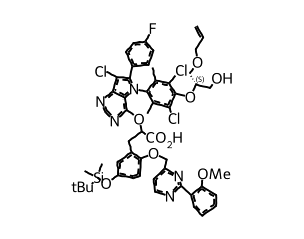 C=CCOC[C@H](CO)Oc1c(Cl)c(C)c(-n2c(-c3ccc(F)cc3)c(Cl)c3ncnc(OC(Cc4cc(O[Si](C)(C)C(C)(C)C)ccc4OCc4ccnc(-c5ccccc5OC)n4)C(=O)O)c32)c(C)c1Cl